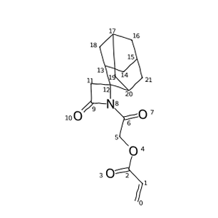 C=CC(=O)OCC(=O)N1C(=O)CC12C1CC3CC(C1)CC2C3